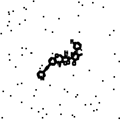 Cc1cc(=O)c(C(=O)N[C@H]2COc3ccc(C#Cc4cccnc4)cc3N(C)C2=O)nn1-c1cccc(F)c1